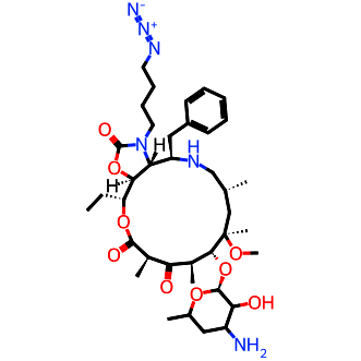 CC[C@H]1OC(=O)[C@H](C)C(=O)[C@H](C)[C@@H](O[C@@H]2OC(C)CC(N)C2O)[C@](C)(OC)C[C@@H](C)CN[C@H](Cc2ccccc2)[C@@H]2[C@@H]1OC(=O)N2CCCCN=[N+]=[N-]